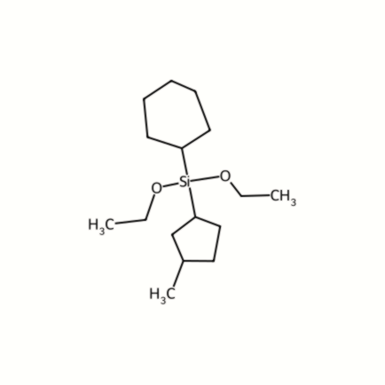 CCO[Si](OCC)(C1CCCCC1)C1CCC(C)C1